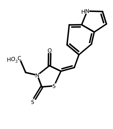 O=C(O)CN1C(=O)/C(=C\c2ccc3[nH]ccc3c2)SC1=S